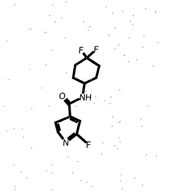 O=C(NC1CCC(F)(F)CC1)c1ccnc(F)c1